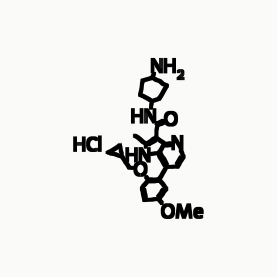 COc1ccc(OCC2CC2)c(-c2ccnc3c(C(=O)NC4CCC(N)CC4)c(C)[nH]c23)c1.Cl